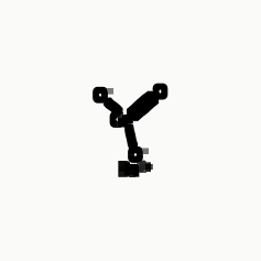 [Ba+2].[O]=[Ge]([O-])[O-]